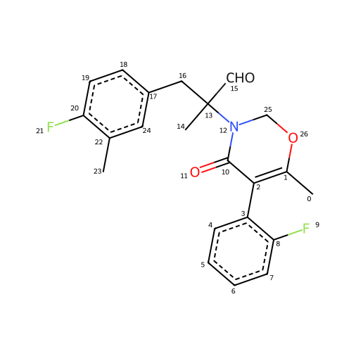 CC1=C(c2ccccc2F)C(=O)N(C(C)(C=O)Cc2ccc(F)c(C)c2)CO1